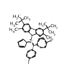 Cc1cc2c(cc1C(C)(C)C)-c1cc(C(C)(C)C)c(C)cc1[CH]2[Zr](=[C](c1ccc(I)cc1)c1ccc(I)cc1)[CH]1C=CC=C1